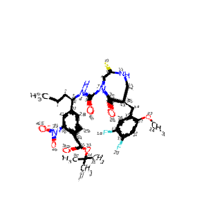 CCC[C@@H](NC(=O)N1CC(=S)NC[C@@H](Cc2cc(F)c(F)cc2OC)C1=O)c1ccc(C(=O)OC(C)(C)C)c([N+](=O)[O-])c1